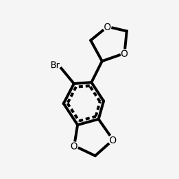 Brc1cc2c(cc1C1COCO1)OCO2